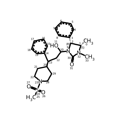 C[C@H]1[C@@H](c2ccccc2)N(C(O)CC(c2ccccc2)C2CCN(S(C)(=O)=O)CC2)C(=O)N1C